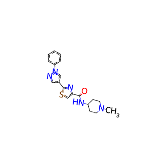 CN1CCC(NC(=O)c2csc(-c3cnn(-c4ccccc4)c3)n2)CC1